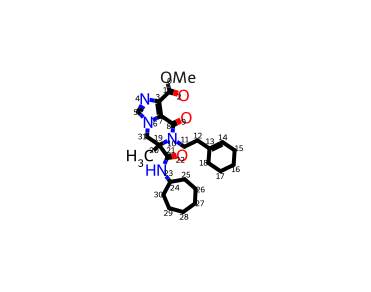 COC(=O)c1ncn2c1C(=O)N(CCC1=CCCCC1)C(C)(C(=O)NC1CCCCCC1)C2